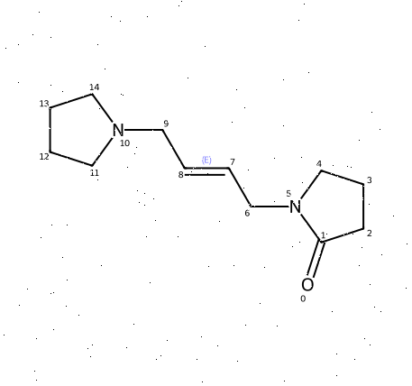 O=C1CCCN1C/C=C/CN1CCCC1